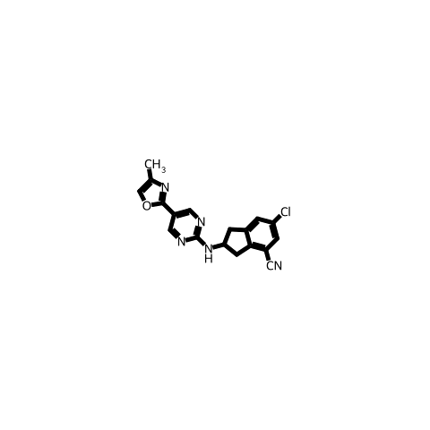 Cc1coc(-c2cnc(NC3Cc4cc(Cl)cc(C#N)c4C3)nc2)n1